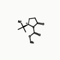 CC(C)(C)OC(=O)N1C(=O)CC[C@@H]1C(C)(C)C#N